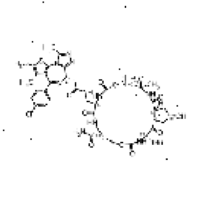 Cc1sc2c(c1C)C(c1ccc(Cl)cc1)=N[C@@H](CC(=O)NC[C@H]1NC(=O)CNCC(C)(C)NC(=O)[C@@H]3C[C@@H](O)CN3C(=O)[C@H](C(C)(C)C)NC(=O)CSC[C@H](C(N)=O)NC1=O)c1nnc(C)n1-2